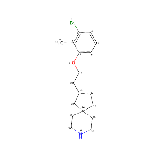 Cc1c(Br)cccc1OCCC1CCC2(CCNCC2)C1